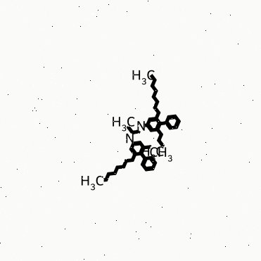 CCCCCCCCc1cc(N=C(C=Nc2cc(CCCC)c(-c3ccccc3)c(CCCCCCCC)c2)CC)cc(CC)c1-c1ccccc1